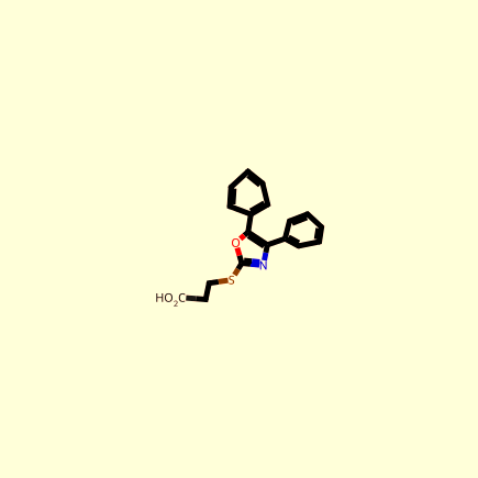 O=C(O)CCSc1nc(-c2ccccc2)c(-c2ccccc2)o1